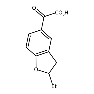 CCC1Cc2cc(C(=O)C(=O)O)ccc2O1